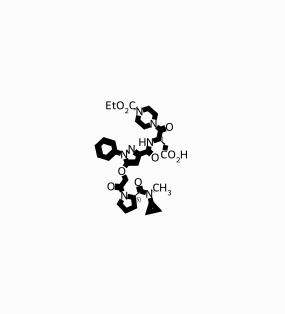 CCOC(=O)N1CCN(C(=O)[C@H](CC(=O)O)NC(=O)c2cc(OCC(=O)N3CCC[C@H]3C(=O)N(C)C3CC3)n(-c3ccccc3)n2)CC1